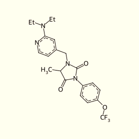 CCN(CC)c1cc(CN2C(=O)N(c3ccc(OC(F)(F)F)cc3)C(=O)C2C)ccn1